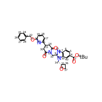 CC(C)(C)OC(=O)c1ccc2nc(CN3C(=O)CC(c4cccc(OCc5ccccc5)n4)CC3=O)n(C[C@@H]3CCO3)c2c1